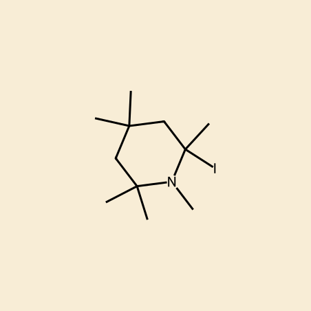 CN1C(C)(C)CC(C)(C)CC1(C)I